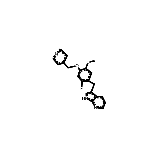 COc1cc(Cc2c[nH]c3ncccc23)c(F)cc1OCc1ccncc1